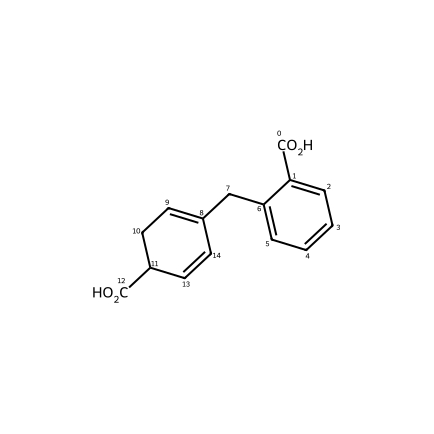 O=C(O)c1ccccc1CC1=CCC(C(=O)O)C=C1